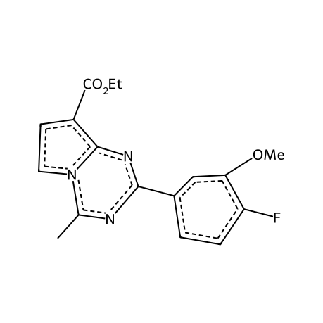 CCOC(=O)c1ccn2c(C)nc(-c3ccc(F)c(OC)c3)nc12